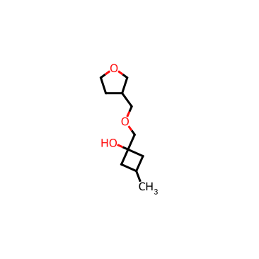 CC1CC(O)(COCC2CCOC2)C1